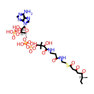 CC[C@H](C)C(=O)CC(=O)CC(=O)SCCNC(=O)CCNC(=O)C(O)C(C)(C)COP(=O)(O)OP(=O)(O)OC[C@H]1O[C@@H](n2cnc3c(N)ncnc32)[C@H](O)[C@@H]1OP(=O)(O)O